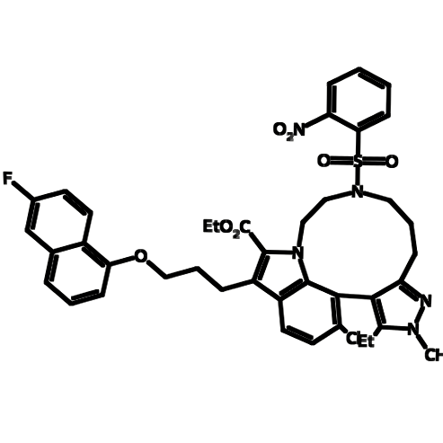 CCOC(=O)c1c(CCCOc2cccc3cc(F)ccc23)c2ccc(Cl)c3c2n1CCN(S(=O)(=O)c1ccccc1[N+](=O)[O-])CCCc1nn(C)c(CC)c1-3